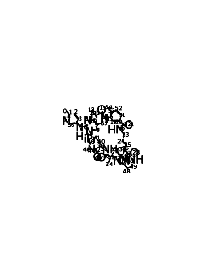 Cc1ccc(Nc2ncc3c(n2)N(C)C(=O)N(c2cc(C(=O)NCCCCC(=O)[C@]4(C(=O)NC(C)(C)C(=O)N[C@@H](CC(C)C)C(=O)N(C)C)CCCN4)ccc2C)C3)cn1